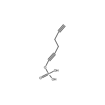 C#CCCC#COP(=O)(O)O